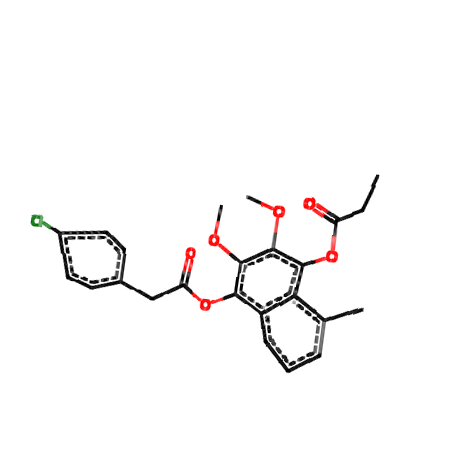 CCC(=O)Oc1c(OC)c(OC)c(OC(=O)Cc2ccc(Cl)cc2)c2cccc(C)c12